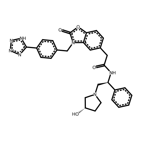 O=C(Cc1ccc2oc(=O)n(Cc3ccc(-c4nnn[nH]4)cc3)c2c1)N[C@H](CN1CC[C@H](O)C1)c1ccccc1